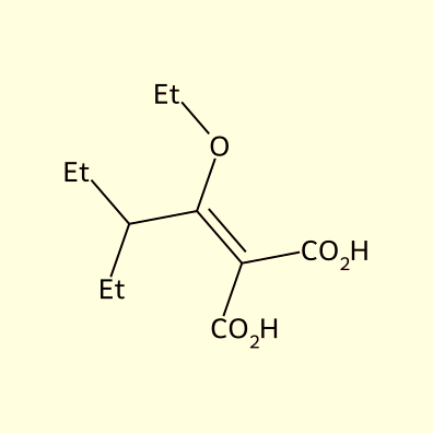 CCOC(=C(C(=O)O)C(=O)O)C(CC)CC